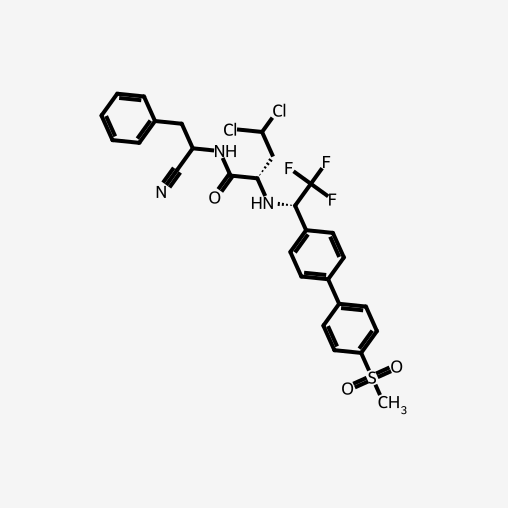 CS(=O)(=O)c1ccc(-c2ccc([C@H](N[C@@H](CC(Cl)Cl)C(=O)NC(C#N)Cc3ccccc3)C(F)(F)F)cc2)cc1